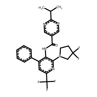 CC(C)c1ncc(C(=O)Nc2c(-c3ccccc3)cc(C(F)(F)F)nc2N2CCC(F)(F)C2)cn1